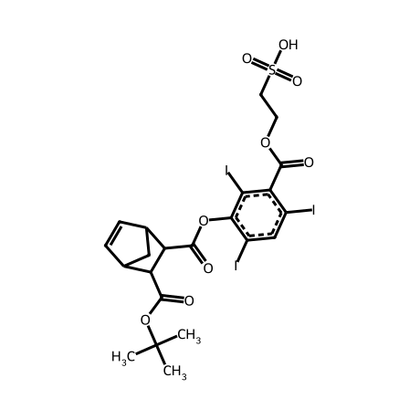 CC(C)(C)OC(=O)C1C2C=CC(C2)C1C(=O)Oc1c(I)cc(I)c(C(=O)OCCS(=O)(=O)O)c1I